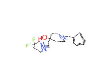 OC1(CN2CCC(F)(F)C2)CCN(Cc2ccccc2)CC1